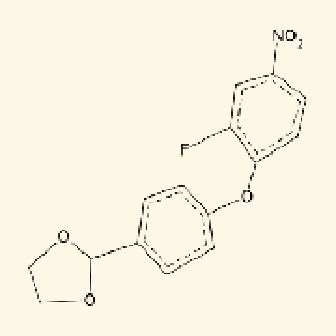 O=[N+]([O-])c1ccc(Oc2ccc(C3OCCO3)cc2)c(F)c1